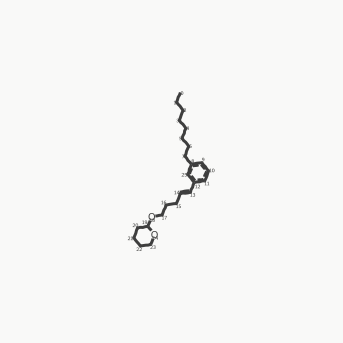 CCCCCCCCc1cccc(C=CCCCOC2CCCCO2)c1